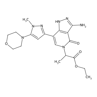 CCOC(=O)C(C)n1cc(-c2cc(N3CCOCC3)n(C)n2)c2[nH]nc(N)c2c1=O